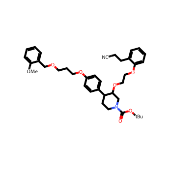 COc1ccccc1COCCCOc1ccc(C2CCN(C(=O)OC(C)(C)C)CC2OCCOc2ccccc2CCC#N)cc1